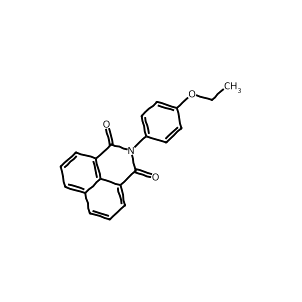 CCOc1ccc(N2C(=O)c3cccc4cccc(c34)C2=O)cc1